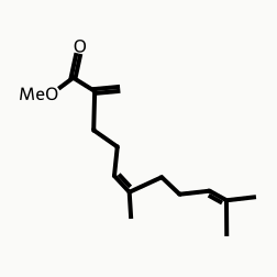 C=C(CCC=C(C)CCC=C(C)C)C(=O)OC